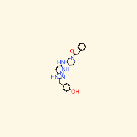 N=C(/C=C\c1nnc(Cc2ccc(O)cc2)[nH]1)NC1CCCN(C(=O)Cc2ccccc2)C1